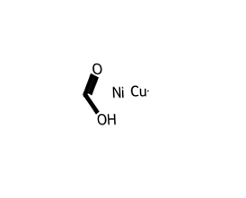 O=CO.[Cu].[Ni]